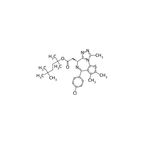 Cc1sc2c(c1C)C(c1ccc(Cl)cc1)=N[C@@H](CC(=O)OC(C)(C)CCC(C)(C)C)c1nnc(C)n1-2